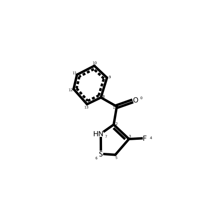 O=C(C1=C(F)CSN1)c1ccccc1